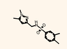 Cc1ccc(S(=O)(=O)NCc2cc(C)n(C)n2)cc1C